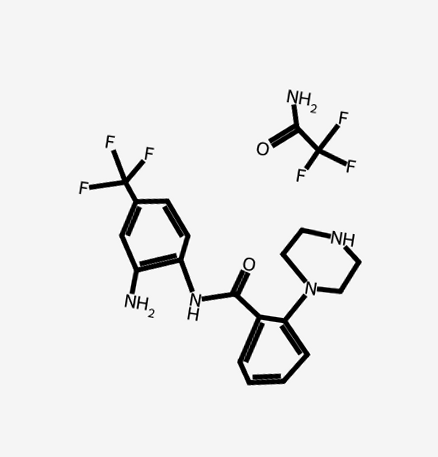 NC(=O)C(F)(F)F.Nc1cc(C(F)(F)F)ccc1NC(=O)c1ccccc1N1CCNCC1